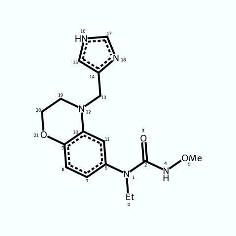 CCN(C(=O)NOC)c1ccc2c(c1)N(Cc1c[nH]cn1)CCO2